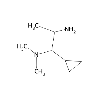 CC(N)C(C1CC1)N(C)C